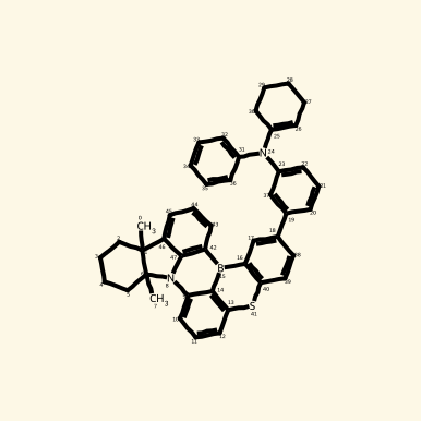 CC12CCCCC1(C)N1c3cccc4c3B(c3cc(-c5cccc(N(C6=CCCCC6)c6ccccc6)c5)ccc3S4)c3cccc2c31